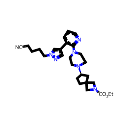 CCOC(=O)N1CC2(CC[C@@H](N3CCN(c4ncccc4-c4cnn(CCCCC#N)c4)CC3)C2)C1